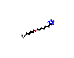 CCCCCCOCCCCCCC1=NN=N[N]1